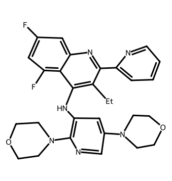 CCc1c(-c2ccccn2)nc2cc(F)cc(F)c2c1Nc1cc(N2CCOCC2)cnc1N1CCOCC1